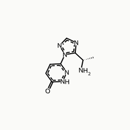 C[C@H](N)c1ncnn1-c1ccc(=O)[nH]n1